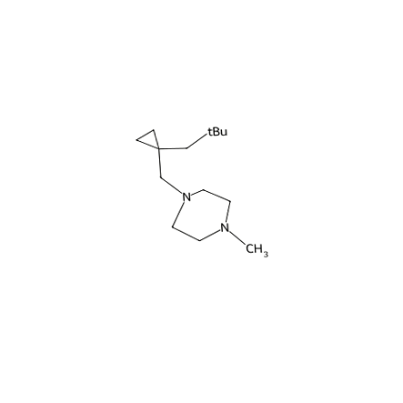 CN1CCN(CC2(CC(C)(C)C)CC2)CC1